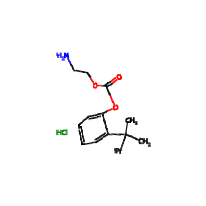 CC(C)C(C)(C)c1ccccc1OC(=O)OCCN.Cl